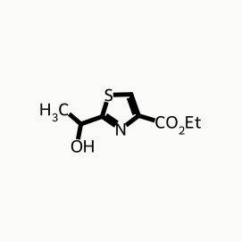 CCOC(=O)c1csc(C(C)O)n1